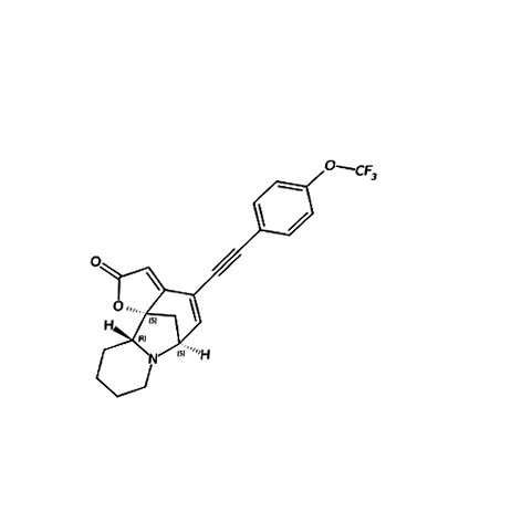 O=C1C=C2C(C#Cc3ccc(OC(F)(F)F)cc3)=C[C@@H]3C[C@@]2(O1)[C@H]1CCCCN31